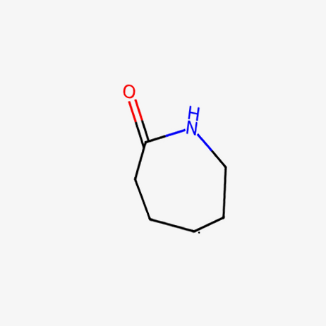 O=C1CC[CH]CCN1